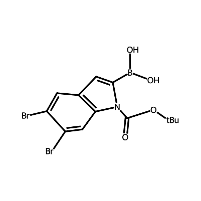 CC(C)(C)OC(=O)n1c(B(O)O)cc2cc(Br)c(Br)cc21